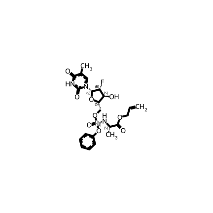 C=CCOC(=O)[C@H](C)N[P@](=O)(OC[C@@H]1O[C@H](n2cc(C)c(=O)[nH]c2=O)[C@H](F)[C@H]1O)Oc1ccccc1